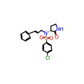 O=C1NCC[C@H]1N(CC=Cc1ccccc1)S(=O)(=O)c1ccc(Cl)cc1